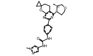 C[C@H]1COCCN1c1nc(-c2ccc(NC(=O)Nc3cnn(C)c3)cc2)nc2c1CCC1(CC1)O2